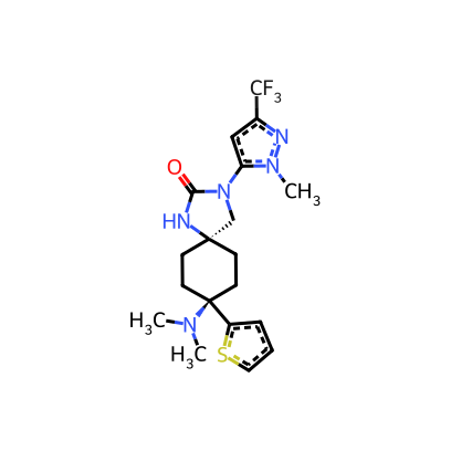 Cn1nc(C(F)(F)F)cc1N1C[C@]2(CC[C@](c3cccs3)(N(C)C)CC2)NC1=O